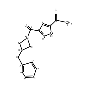 CC(=O)c1cc(C(=O)N2CC(Cc3ccccc3)C2)no1